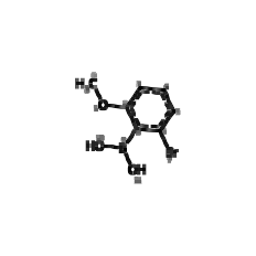 COc1cccc(Br)c1B(O)O